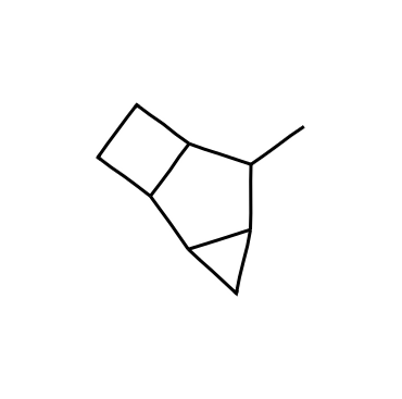 CC1C2CCC2C2CC12